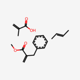 C=C(C)C(=O)O.C=C(Cc1ccccc1)C(=O)OC.CC=CC